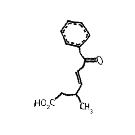 CC(C=CC(=O)c1ccccc1)CC(=O)O